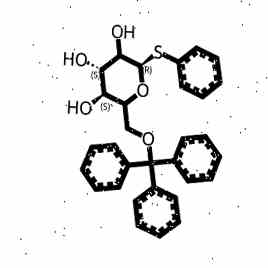 OC1[C@@H](Sc2ccccc2)OC(COC(c2ccccc2)(c2ccccc2)c2ccccc2)[C@@H](O)[C@@H]1O